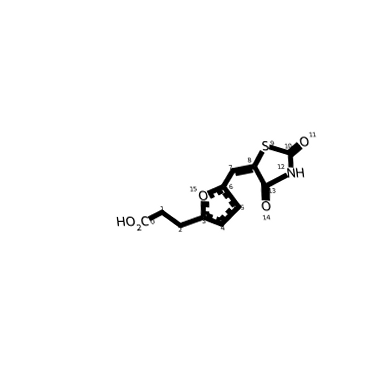 O=C(O)CCc1ccc(C=C2SC(=O)NC2=O)o1